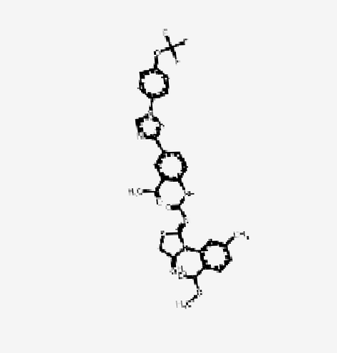 COC(C)c1ccc(C)cc1N1C(=O)CSC1=NC(=O)Nc1ccc(-c2ncn(-c3ccc(OC(F)(F)F)cc3)n2)cc1C(C)=O